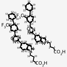 O=C(O)CCCn1cc2cc(-c3noc(-c4ccc(-c5ccccc5)c(C(F)(F)F)c4)n3)ccc2n1.O=C(O)CCCn1ncc2cc(-c3noc(-c4ccc(-c5ccccc5)c(C(F)(F)F)c4)n3)ccc21